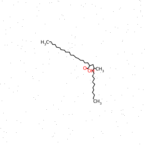 CCCCCCCCCCCCCCCCCCC(CC(C)CCCCCCCCCCCC)C(=O)O